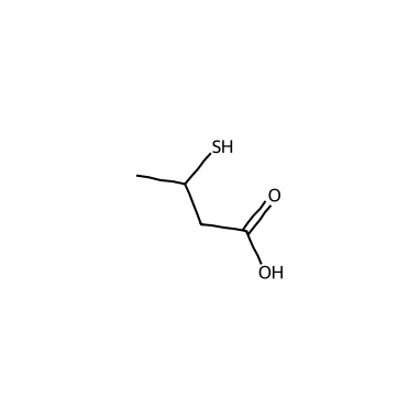 CC(S)CC(=O)O